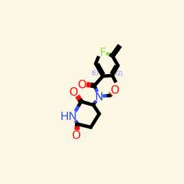 C=C(F)/C=C(C)\C(=C/C)C(=O)N(C=O)C1CCC(=O)NC1=O